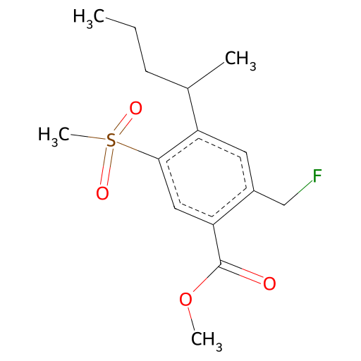 CCCC(C)c1cc(CF)c(C(=O)OC)cc1S(C)(=O)=O